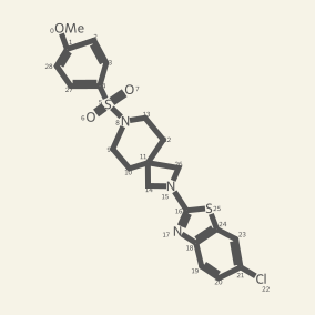 COc1ccc(S(=O)(=O)N2CCC3(CC2)CN(c2nc4ccc(Cl)cc4s2)C3)cc1